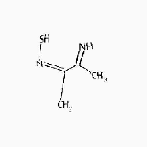 CC(=N)/C(C)=N\S